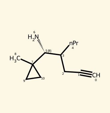 C#CCC(CCC)[C@@H](N)C1(C)CC1